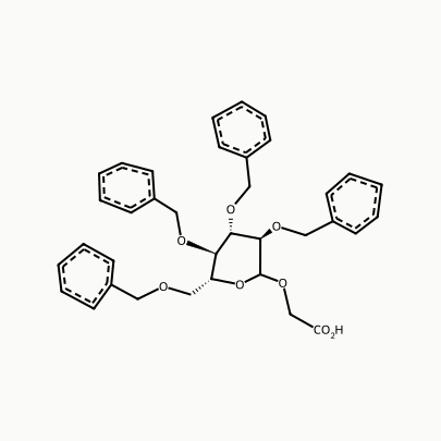 O=C(O)COC1O[C@H](COCc2ccccc2)[C@@H](OCc2ccccc2)[C@H](OCc2ccccc2)[C@H]1OCc1ccccc1